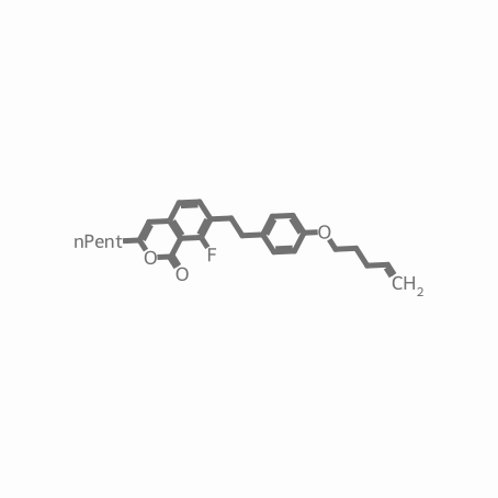 C=CCCCOc1ccc(CCc2ccc3cc(CCCCC)oc(=O)c3c2F)cc1